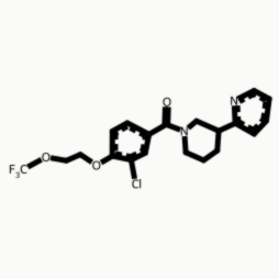 O=C(c1ccc(OCCOC(F)(F)F)c(Cl)c1)N1CCCC(c2ccccn2)C1